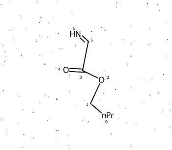 CCCCOC(=O)C=N